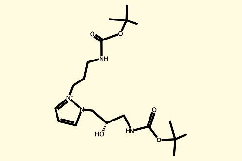 CC(C)(C)OC(=O)NCCC[n+]1cccn1C[C@@H](O)CNC(=O)OC(C)(C)C